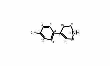 Fc1ccc(C2=C[C]NCC2)cc1